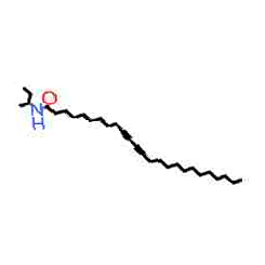 CCCCCCCCCCCCC#CC#CCCCCCCCCC(=O)NC(C)CC